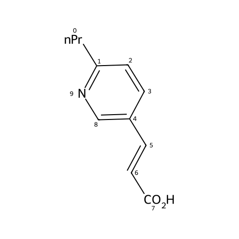 CCCc1ccc(C=CC(=O)O)cn1